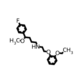 CCOc1ccccc1OCCNCCCC(OC)c1ccc(F)cc1